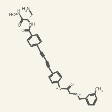 Cc1cccc(CNCC(=O)Nc2ccc(C#CC#Cc3ccc(C(=O)N[C@@H](CN)C(=O)NO)cc3)cc2)c1